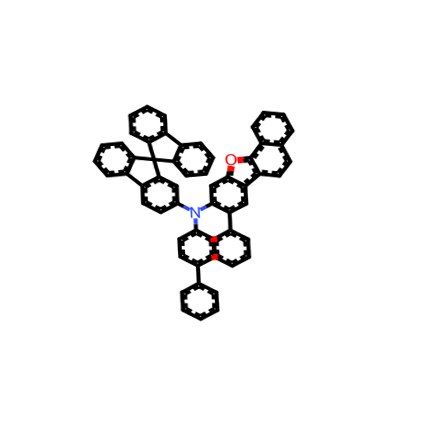 c1ccc(-c2ccc(N(c3ccc4c(c3)C3(c5ccccc5-c5ccccc53)c3ccccc3-4)c3cc4oc5c6ccccc6ccc5c4cc3-c3ccccc3)cc2)cc1